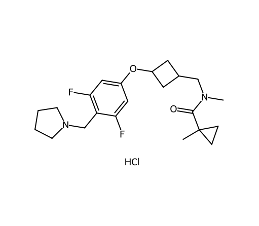 CN(CC1CC(Oc2cc(F)c(CN3CCCC3)c(F)c2)C1)C(=O)C1(C)CC1.Cl